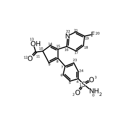 NS(=O)(=O)c1ccc(C2=CC(C(=O)O)C=C2c2ccc(F)cn2)cc1